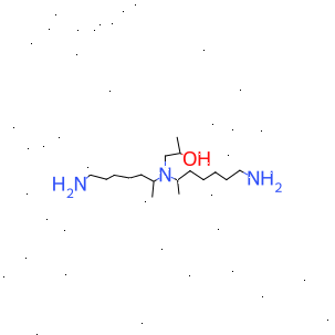 CC(O)CN(C(C)CCCCCN)C(C)CCCCCN